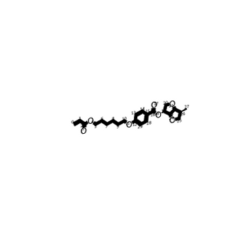 C=CC(=O)OCCCCCCOc1ccc(C(=O)O[C@@H]2COC3C2OC[C@@H]3C)cc1